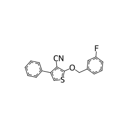 N#Cc1c(-c2ccccc2)csc1OCc1cccc(F)c1